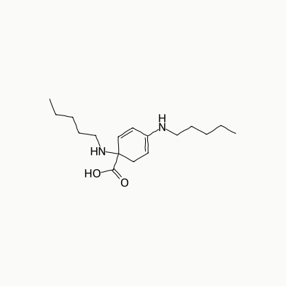 CCCCCNC1=CCC(NCCCCC)(C(=O)O)C=C1